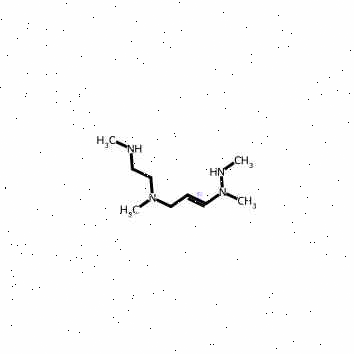 CNCCN(C)C/C=C/N(C)NC